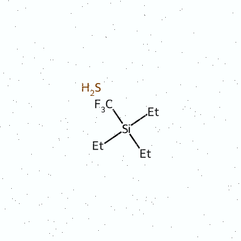 CC[Si](CC)(CC)C(F)(F)F.S